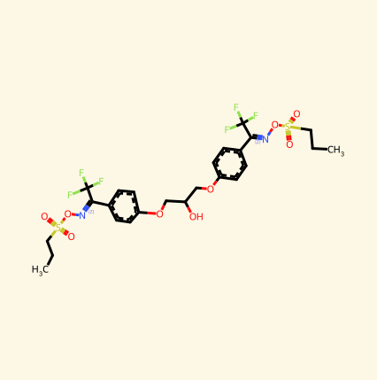 CCCS(=O)(=O)O/N=C(/c1ccc(OCC(O)COc2ccc(/C(=N/OS(=O)(=O)CCC)C(F)(F)F)cc2)cc1)C(F)(F)F